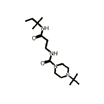 CCC(C)(C)NC(=O)CCNC(=O)N1CCN(C(C)(C)C)CC1